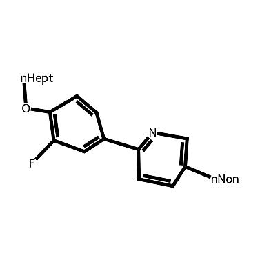 CCCCCCCCCc1ccc(-c2ccc(OCCCCCCC)c(F)c2)nc1